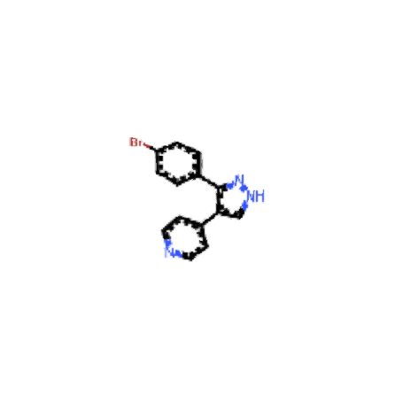 Brc1ccc(-c2n[nH]cc2-c2ccncc2)cc1